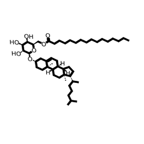 CCCCCCCCCCCCCCCC(=O)OC[C@H]1O[C@@H](O[C@H]2CC[C@@]3(C)C(=CC[C@H]4[C@@H]5CC[C@H](C(C)CCCC(C)C)[C@@]5(C)CC[C@@H]43)C2)[C@H](O)[C@@H](O)[C@H]1O